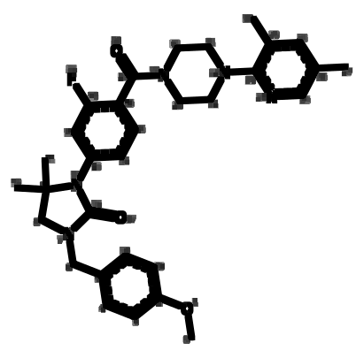 COc1ccc(CN2CC(C)(C)N(c3ccc(C(=O)N4CCN(c5ncc(C)cc5C)CC4)c(F)c3)C2=O)cc1